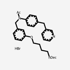 Br.CCCCCCCCCCCCCCOc1cccc(CN(C(C)=O)c2ccc(Cc3cccnc3)cc2)c1